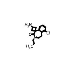 CCCN1CCc2c(Cl)cccc2C2(CC(N)C2)C1=O